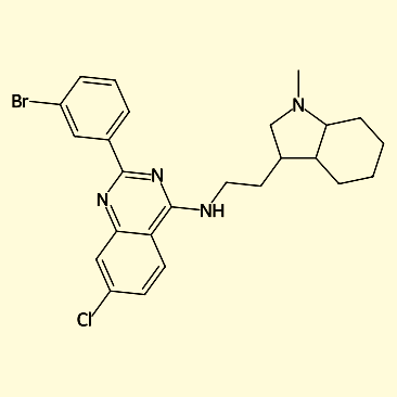 CN1CC(CCNc2nc(-c3cccc(Br)c3)nc3cc(Cl)ccc23)C2CCCCC21